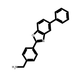 NCc1ccc(-c2nc3cc(-c4ccccc4)ccc3o2)cc1